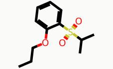 CCCOc1ccccc1S(=O)(=O)C(C)C